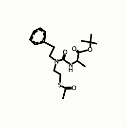 CC(=O)SCCN(CCc1ccccc1)C(=O)NC(C)C(=O)OC(C)(C)C